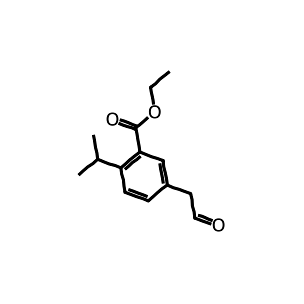 CCOC(=O)c1cc(CC=O)ccc1C(C)C